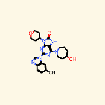 N#Cc1ccc2ncn(-c3nc(N4CCCC(O)CC4)c4[nH]c(=O)n(C5CCOCC5)c4n3)c2c1